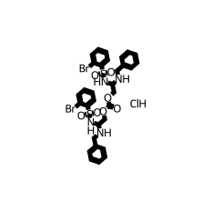 Cl.O=C(OCC(NCc1ccccc1)NS(=O)(=O)c1ccccc1Br)OCC(NCc1ccccc1)NS(=O)(=O)c1ccccc1Br